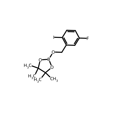 CC1(C)OB(OCc2cc(F)ccc2I)OC1(C)C